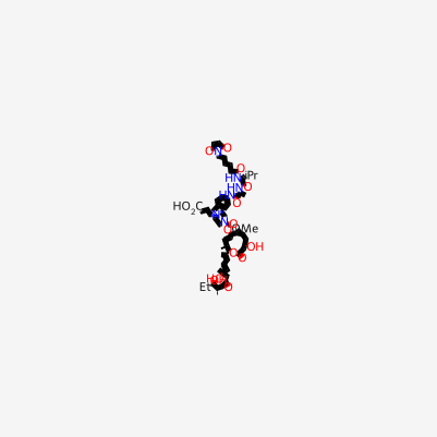 CC[C@H](O)[C@@H](C)[C@H]1O[C@@H]1CC(C)(O)/C=C/C=C(\C)[C@H]1OC(=O)C[C@H](O)CC[C@@](C)(OC)[C@@H](OC(=O)N2CC[N+](CCCC(=O)O)(Cc3ccc(NC(=O)C(C)NC(=O)C(NC(=O)CCCCCN4C(=O)C=CC4=O)C(C)C)cc3)CC2)/C=C/[C@@H]1C